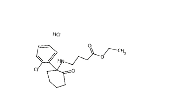 CCOC(=O)CCCNC1(c2ccccc2Cl)CCCCC1=O.Cl